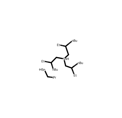 CC(C)[CH2][SnH].CCCCC(CC)[CH2][SnH]([CH2]C(CC)CCCC)[CH2]C(CC)CCCC